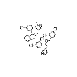 Cc1ncc2n1-c1ccc(Cl)cc1C(c1ccccc1F)=NC2.Clc1ccc(COC(Cn2ccnc2)c2ccc(Cl)cc2Cl)c(Cl)c1